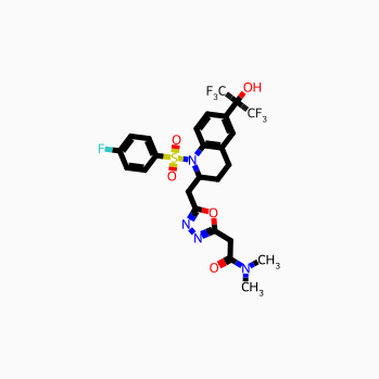 CN(C)C(=O)Cc1nnc(CC2CCc3cc(C(O)(C(F)(F)F)C(F)(F)F)ccc3N2S(=O)(=O)c2ccc(F)cc2)o1